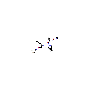 C=CCCC(NC(=O)[C@@H]1[C@@H]2[C@H](CN1C(=O)[C@@H](NC(=O)NC(C)(C)C)C(C)(C)C)C2(C)C)C(=O)C(=O)NCCS(C)(=O)=O